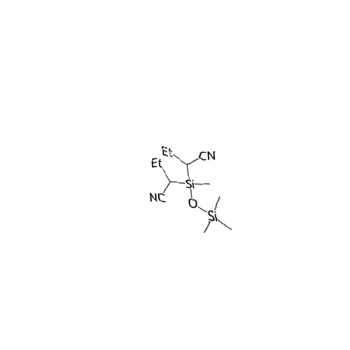 CCC(C#N)[Si](C)(O[Si](C)(C)C)C(C#N)CC